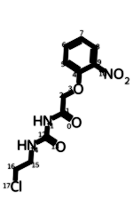 O=C(COc1ccccc1[N+](=O)[O-])NC(=O)NCCCl